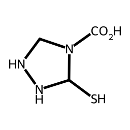 O=C(O)N1CNNC1S